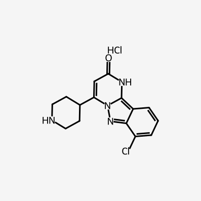 Cl.O=c1cc(C2CCNCC2)n2nc3c(Cl)cccc3c2[nH]1